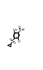 O=[N+]([O-])c1cc(Cl)c(S(=O)(=O)C2CC2)cc1O